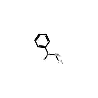 CCN([SiH2]C)c1ccccc1